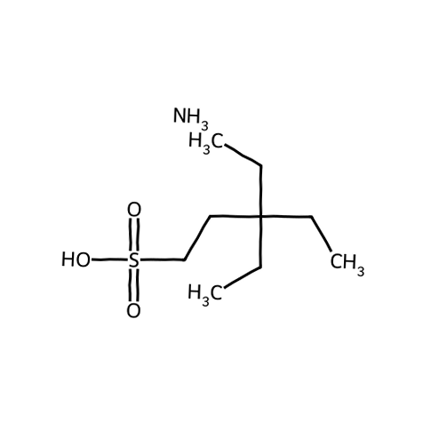 CCC(CC)(CC)CCS(=O)(=O)O.N